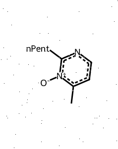 CCCCCc1nccc(C)[n+]1[O-]